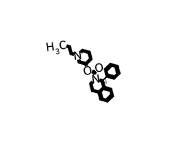 CCCN1CCCC(OC(=O)N2CCc3ccccc3[C@@H]2c2ccccc2)C1